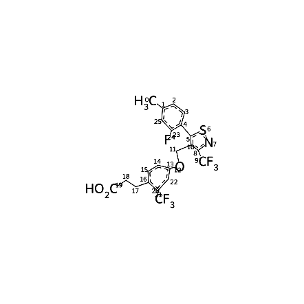 Cc1ccc(-c2snc(C(F)(F)F)c2COc2ccc(CCC(=O)O)c(C(F)(F)F)c2)c(F)c1